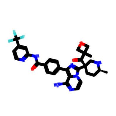 C[C@@H]1CC[C@](C(=O)C2(C)COC2)(c2nc(-c3ccc(C(=O)Nc4cc(C(F)(F)F)ccn4)cc3)c3c(N)nccn23)CN1